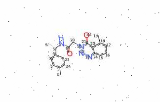 Cc1ccc([C@H](C)NC(=O)Cn2nnc3cccc(C)c3c2=O)cc1